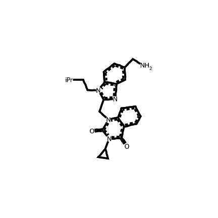 CC(C)CCn1c(Cn2c(=O)n(C3CC3)c(=O)c3ccccc32)nc2cc(CN)ccc21